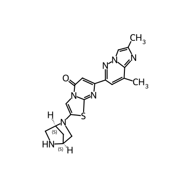 Cc1cn2nc(-c3cc(=O)n4cc(N5C[C@@H]6C[C@H]5CN6)sc4n3)cc(C)c2n1